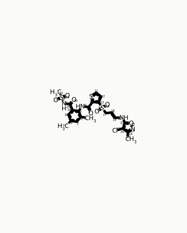 Cc1cc(C)c(NC(=O)c2sccc2S(=O)(=O)CC=CNc2onc(C)c2Cl)c(C(=O)NS(C)(=O)=O)c1